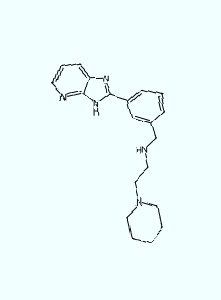 c1cc(CNCCN2CCCCC2)cc(-c2nc3cccnc3[nH]2)c1